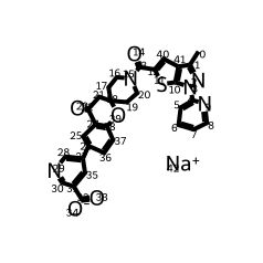 Cc1nn(-c2ccccn2)c2sc(C(=O)N3CCC4(CC3)CC(=O)c3cc(-c5cncc(C(=O)[O-])c5)ccc3O4)cc12.[Na+]